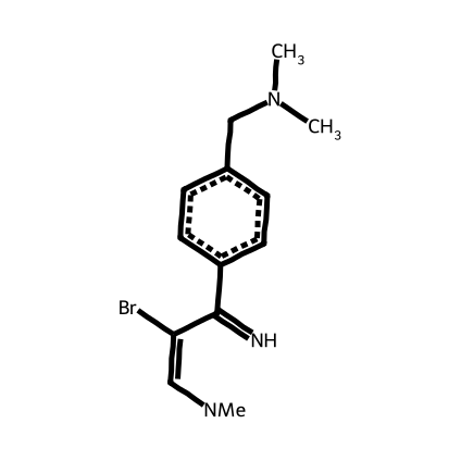 CN/C=C(/Br)C(=N)c1ccc(CN(C)C)cc1